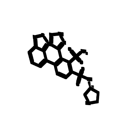 NS(=O)(=O)c1c(S(=O)(=O)N[C@@H]2CCNC2)ccc(-c2cccc3nonc23)c1-c1nn[nH]n1